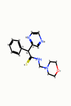 S=C(NCN1CCOCC1)C(c1ccccc1)c1cnccn1